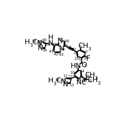 Cc1cc(F)c(C(=O)Nc2cc(-c3cnn(C)c3)cc(C(C)(C)C#N)c2)cc1C#Cc1cnc2c(Nc3cnn(C)c3)cccn12